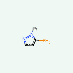 CC(C)n1nccc1P